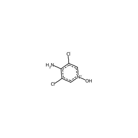 Nc1c(Cl)c[n+](O)cc1Cl